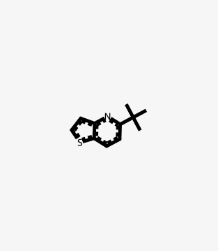 CC(C)(C)c1ccc2sccc2n1